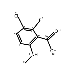 CNc1ccc(Cl)c(F)c1C(=O)O